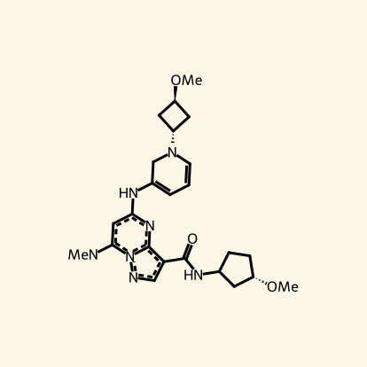 CNc1cc(NC2=CC=CN([C@H]3C[C@H](OC)C3)C2)nc2c(C(=O)NC3CC[C@H](OC)C3)cnn12